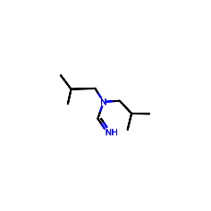 CC(C)CN(C=N)CC(C)C